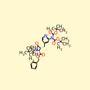 CC(C)(C)OC(=O)N(C(=O)OC(C)(C)C)c1cc(C[C@H]2C(=O)N([Si](C)(C)C(C)(C)C)[C@@H]2C(=O)OCc2ccccc2)ccn1